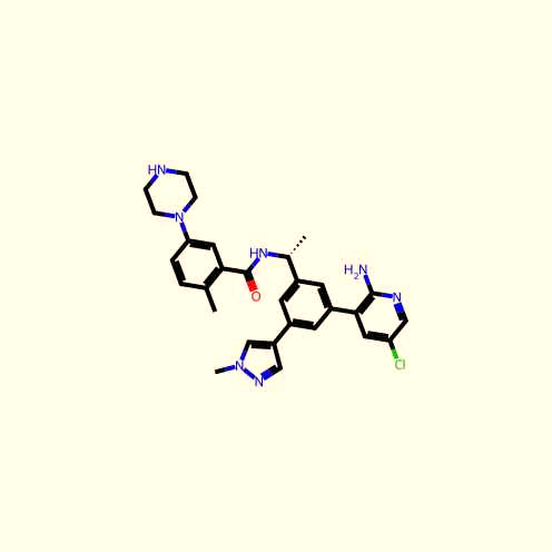 Cc1ccc(N2CCNCC2)cc1C(=O)N[C@H](C)c1cc(-c2cnn(C)c2)cc(-c2cc(Cl)cnc2N)c1